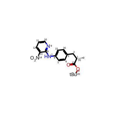 C[C@@H](Cc1ccc(Nc2ncccc2[N+](=O)[O-])cc1)C(=O)OC(C)(C)C